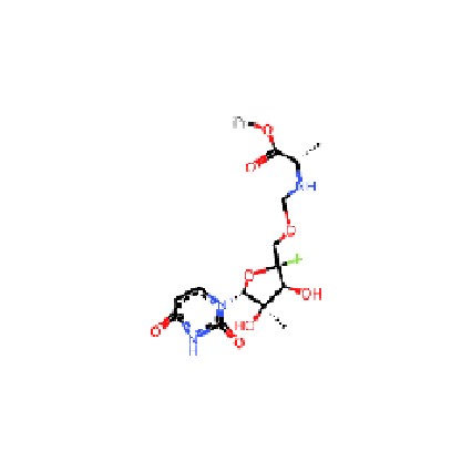 CC(C)OC(=O)[C@H](C)NCOC[C@@]1(F)O[C@@H](n2ccc(=O)[nH]c2=O)[C@](C)(O)[C@@H]1O